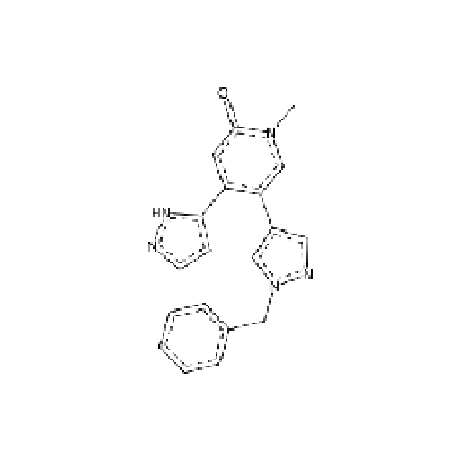 Cn1cc(-c2cnn(Cc3ccccc3)c2)c(-c2ccn[nH]2)cc1=O